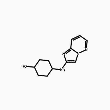 OC1CCC(Nc2cn3ncccc3n2)CC1